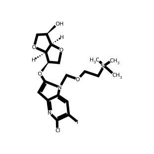 C[Si](C)(C)CCOCn1c(O[C@@H]2CO[C@H]3[C@@H]2OC[C@H]3O)cc2nc(Cl)c(I)cc21